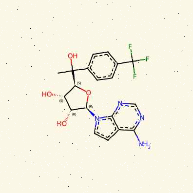 CC(O)(c1ccc(C(F)(F)F)cc1)[C@H]1O[C@@H](n2ccc3c(N)ncnc32)[C@H](O)[C@@H]1O